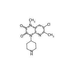 Cc1nc2c(cc1Cl)n(C)c(=O)c(=O)n2C1CCNCC1